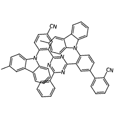 Cc1ccc2c(c1)c1ccccc1n2-c1ccc(C#N)cc1-c1nc(-c2ccccc2)nc(-c2cc(-c3ccccc3C#N)ccc2-n2c3ccccc3c3cc(C)ccc32)n1